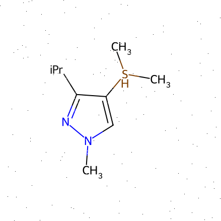 CC(C)c1nn(C)cc1[SH](C)C